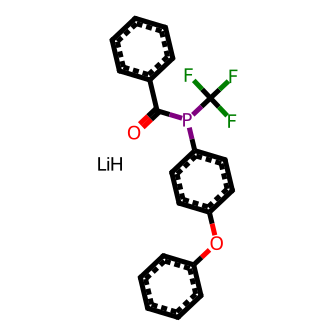 O=C(c1ccccc1)P(c1ccc(Oc2ccccc2)cc1)C(F)(F)F.[LiH]